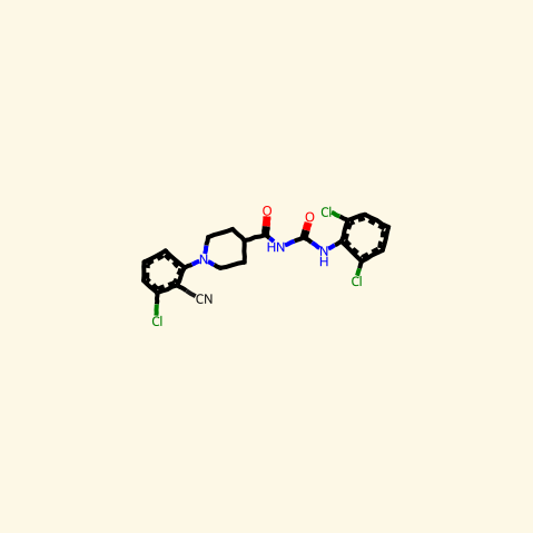 N#Cc1c(Cl)cccc1N1CCC(C(=O)NC(=O)Nc2c(Cl)cccc2Cl)CC1